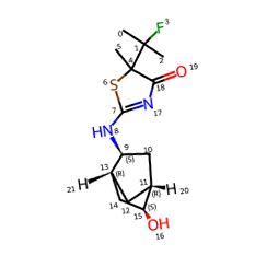 CC(C)(F)C1(C)SC(N[C@H]2C[C@H]3C[C@@H]2C[C@@H]3O)=NC1=O